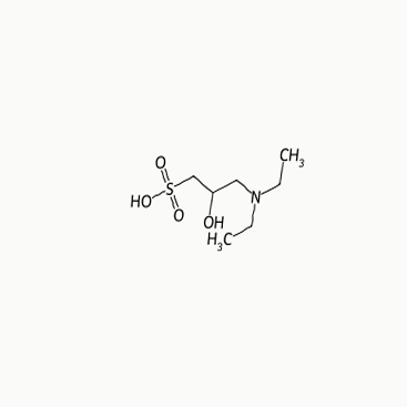 CCN(CC)CC(O)CS(=O)(=O)O